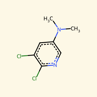 CN(C)c1cnc(Cl)c(Cl)c1